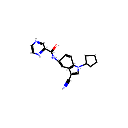 N#Cc1cn(C2CCCC2)c2ccc(NC(=O)c3cnccn3)cc12